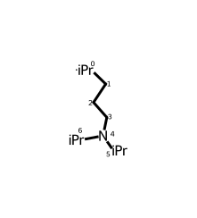 C[C](C)CCCN(C(C)C)C(C)C